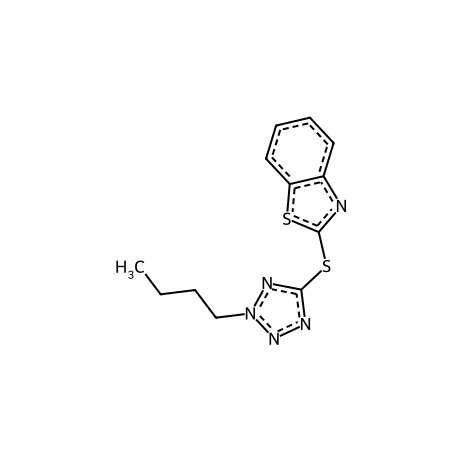 CCCCn1nnc(Sc2nc3ccccc3s2)n1